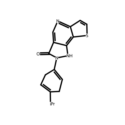 CC(C)C1=CCC(n2[nH]c3c(cnc4ccsc43)c2=O)=CC1